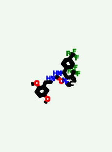 COc1ccc(OC)c(CCNC(=O)N[C@@H](c2ccc(C(F)(F)F)cc2)c2ncccc2C(F)(F)F)c1